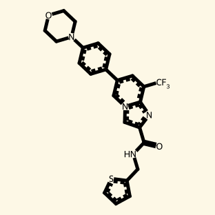 O=C(NCc1cccs1)c1cn2cc(-c3ccc(N4CCOCC4)cc3)cc(C(F)(F)F)c2n1